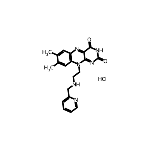 Cc1cc2nc3c(=O)[nH]c(=O)nc-3n(CCNCc3ccccn3)c2cc1C.Cl